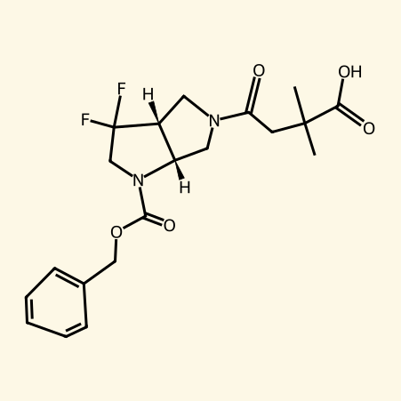 CC(C)(CC(=O)N1C[C@@H]2[C@H](C1)N(C(=O)OCc1ccccc1)CC2(F)F)C(=O)O